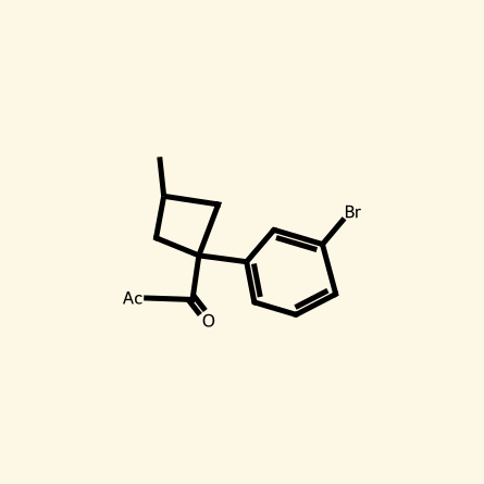 CC(=O)C(=O)C1(c2cccc(Br)c2)CC(C)C1